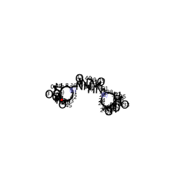 C=C1C(=O)O[C@H]2[C@H]1CC/C(CNC(=O)N1CCN(C(=O)NC/C3=C/CC[C@@]4(C)O[C@H]4[C@H]4OC(=O)C(=C)[C@@H]4CC3)CC1)=C\CC[C@@]1(C)O[C@@H]21